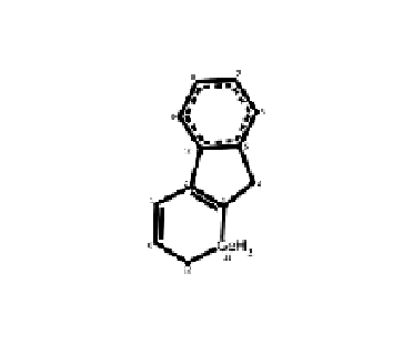 C1=CC2=[C](Cc3ccccc32)[GeH2][CH2]1